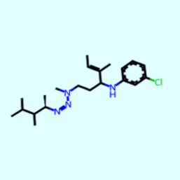 C/C=C(\C)C(CCN(C)/N=N\[C@H](C)C(C)C(C)C)Nc1cccc(Cl)c1